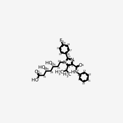 CC(C)c1c(C(=O)Nc2ccccc2)nc(-c2ccc(F)cc2)n1CC[C@@H](O)C[C@@H](O)CC(=O)O